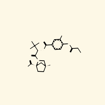 CCC(=O)Nc1ccc(C(=O)N[C@H](C(=O)N2C[C@@H]3CC[C@@]2(C(=O)O)C3)C(C)(C)C)cc1Cl